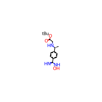 C[C@H](NCC(=O)OC(C)(C)C)c1ccc(C(=N)NO)cc1